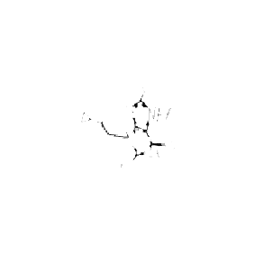 O=c1[nH]c(=O)n(CCC2CC2)c2nc(Cl)[nH]c12